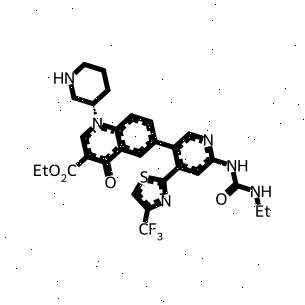 CCNC(=O)Nc1cc(-c2nc(C(F)(F)F)cs2)c(-c2ccc3c(c2)c(=O)c(C(=O)OCC)cn3[C@H]2CCCNC2)cn1